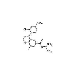 COc1ccc(-c2ccnc3c(C)cc(C(=O)N=C(N)N)cc23)c(Cl)c1